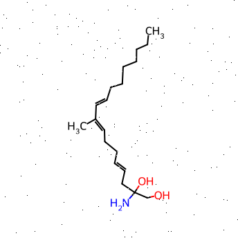 CCCCCCCC=CC(C)=CCCC=CCC(N)(O)CO